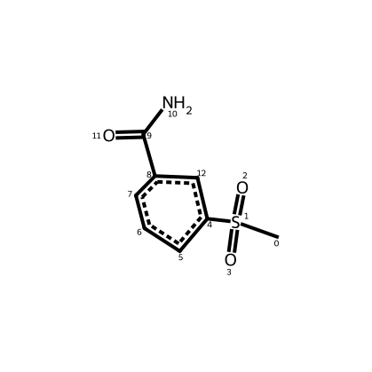 CS(=O)(=O)c1cccc(C(N)=O)c1